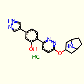 Cl.Oc1cc(-c2cn[nH]c2)ccc1-c1ccc(OC2CC3CCC(C2)N3)nn1